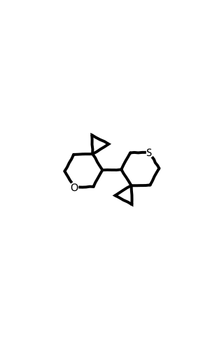 C1CC2(CC2)C(C2CSCCC23CC3)CO1